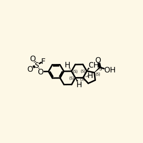 C[C@]12CC[C@@H]3c4ccc(OS(=O)(=O)F)cc4CC[C@H]3[C@@H]1CC[C@@H]2C(=O)O